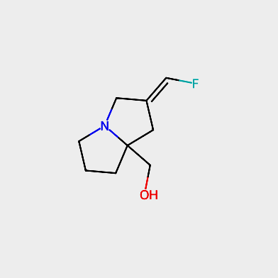 OCC12CCCN1CC(=CF)C2